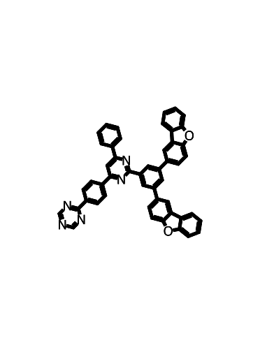 c1ccc(-c2cc(-c3ccc(-c4ncncn4)cc3)nc(-c3cc(-c4ccc5oc6ccccc6c5c4)cc(-c4ccc5oc6ccccc6c5c4)c3)n2)cc1